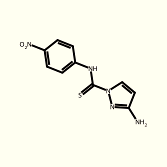 Nc1ccn(C(=S)Nc2ccc([N+](=O)[O-])cc2)n1